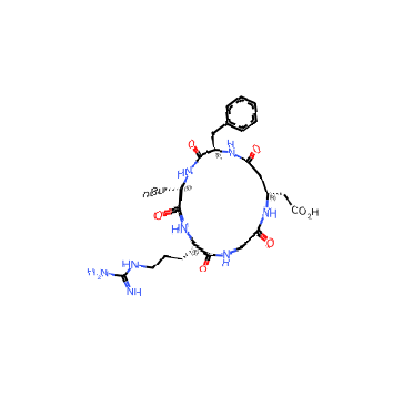 CCCC[C@@H]1NC(=O)[C@@H](Cc2ccccc2)NC(=O)C[C@H](CC(=O)O)NC(=O)CNC(=O)[C@H](CCCNC(=N)N)NC1=O